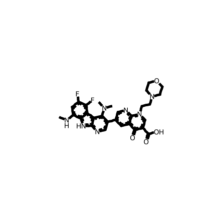 CNc1cc(F)c(F)c2c1[nH]c1ncc(-c3cnc4c(c3)c(=O)c(C(=O)O)cn4CCN3CCOCC3)c(N(C)C)c12